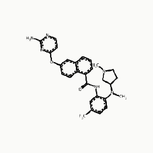 CN1CCC(N(C)c2ccc(C(F)(F)F)cc2NC(=O)c2cccc3cc(Oc4ccnc(N)n4)ccc23)C1